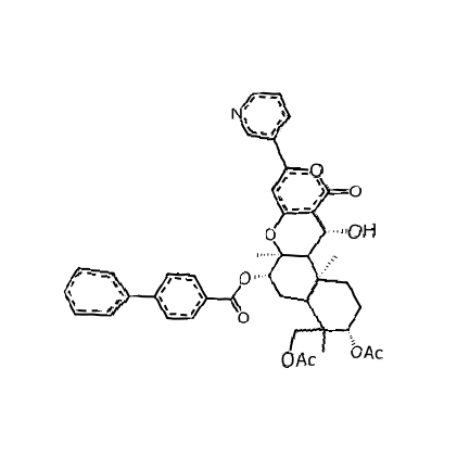 CC(=O)OCC1(C)C2C[C@H](OC(=O)c3ccc(-c4ccccc4)cc3)[C@@]3(C)Oc4cc(-c5cccnc5)oc(=O)c4[C@H](O)C3[C@@]2(C)CC[C@@H]1OC(C)=O